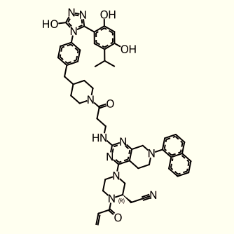 C=CC(=O)N1CCN(c2nc(NCCC(=O)N3CCC(Cc4ccc(-n5c(O)nnc5-c5cc(C(C)C)c(O)cc5O)cc4)CC3)nc3c2CCN(c2cccc4ccccc24)C3)C[C@H]1CC#N